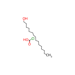 CCCCCCCCCCCCCCCCO.O=C(O)Cl